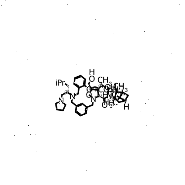 CC(C)C[C@@H](CN1CCCC1)N(Cc1cccc(CN2O[C@@H](CO)[C@@H]([C@H](C)O)[C@H]2C(=O)N[C@H]2C[C@H]3C[C@@H]([C@@H]2C)C3(C)C)c1)Cc1ccccc1OCC(=O)O